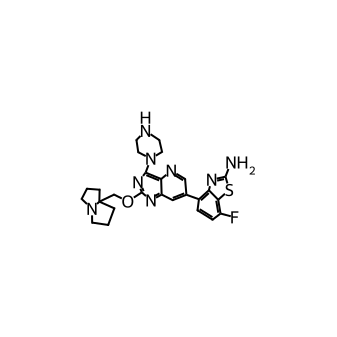 Nc1nc2c(-c3cnc4c(N5CCNCC5)nc(OCC56CCCN5CCC6)nc4c3)ccc(F)c2s1